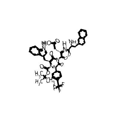 CC(C)(C)OC(=O)N[C@@H](Cc1c[nH]c2ccccc12)C(=O)N(C(=O)Cc1ccc(C(F)(F)F)cc1)C(=O)[C@H](CC(=O)O)NC(=O)[C@@H](N)Cc1ccc2ccccc2c1